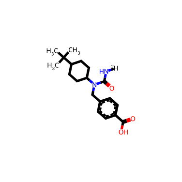 [2H]NC(=O)N(Cc1ccc(C(=O)O)cc1)C1CCC(C(C)(C)C)CC1